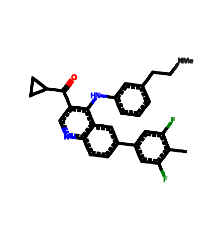 CNCCc1cccc(Nc2c(C(=O)C3CC3)cnc3ccc(-c4cc(F)c(C)c(F)c4)cc23)c1